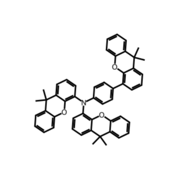 CC1(C)c2ccccc2Oc2c(-c3ccc(N(c4cccc5c4Oc4ccccc4C5(C)C)c4cccc5c4Oc4ccccc4C5(C)C)cc3)cccc21